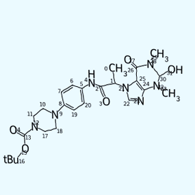 CC(C(=O)Nc1ccc(N2CCN(C(=O)OC(C)(C)C)CC2)cc1)n1cnc2c1C(=O)N(C)C(O)N2C